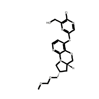 COCOC[C@H]1C[C@H]2COc3c(Sc4cnc(Cl)c(CO)n4)ccnc3N2C1